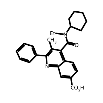 CCN(C(=O)c1c(C)c(-c2ccccc2)nc2cc(C(=O)O)ccc12)C1CCCCC1